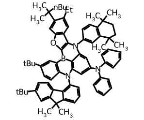 CCCCC(C)(C)c1cc2oc3c(c2cc1CC)N(c1ccc2c(c1)C(C)(C)CCC2(C)C)c1cc(N(c2ccccc2)c2ccccc2)cc2c1B3c1cc(C(C)(C)C)ccc1N2c1cccc2c1-c1ccc(C(C)(C)C)cc1C2(C)C